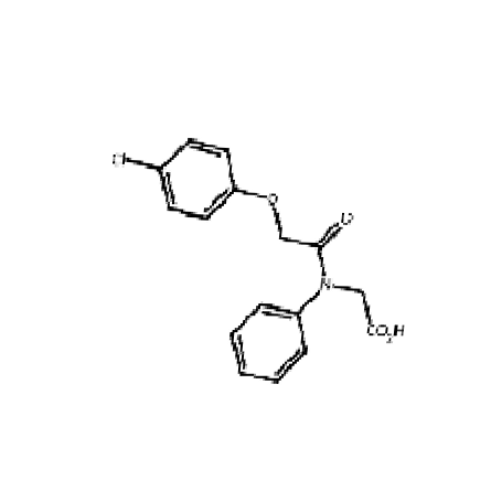 O=C(O)CN(C(=O)COc1ccc(Cl)cc1)c1ccccc1